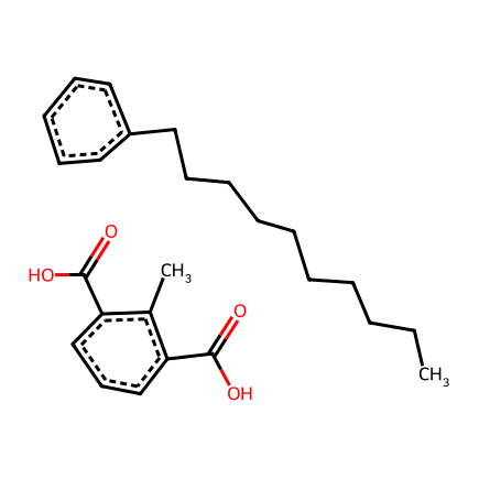 CCCCCCCCCCc1ccccc1.Cc1c(C(=O)O)cccc1C(=O)O